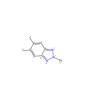 CCn1nc2cc(C)c(C)cc2n1